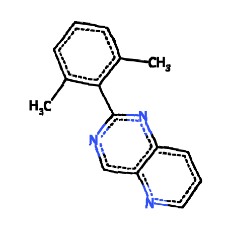 Cc1cccc(C)c1-c1ncc2ncccc2n1